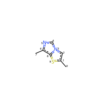 Cc1cn2cnc(C)c2s1